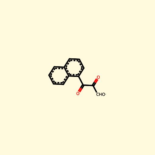 O=[C]C(=O)C(=O)c1cccc2ccccc12